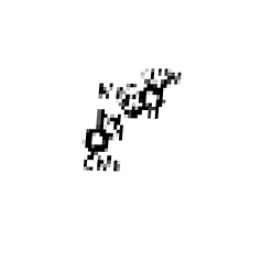 COc1ccc2[nH]c([S+]([O-])Cc3ncc(C)c(OC)c3OC)nc2c1